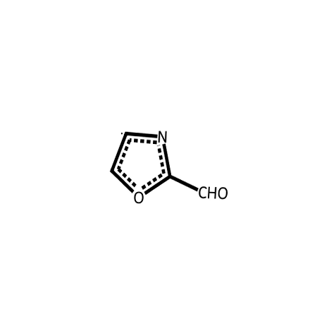 O=Cc1n[c]co1